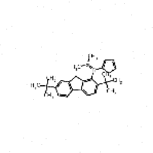 C[Si](C)=[Ti]([C]1=CC=CC1)[c]1c(C(C)(C)C)ccc2c1Cc1cc(C(C)(C)C)ccc1-2